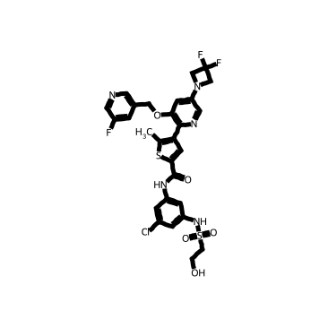 Cc1sc(C(=O)Nc2cc(Cl)cc(NS(=O)(=O)CCO)c2)cc1-c1ncc(N2CC(F)(F)C2)cc1OCc1cncc(F)c1